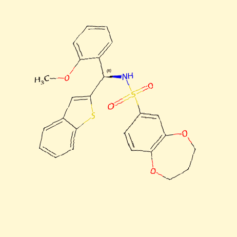 COc1ccccc1[C@@H](NS(=O)(=O)c1ccc2c(c1)OCCCO2)c1cc2ccccc2s1